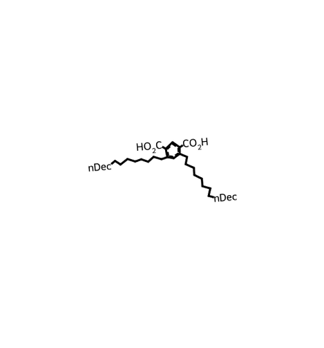 CCCCCCCCCCCCCCCCCCc1cc(CCCCCCCCCCCCCCCCCC)c(C(=O)O)cc1C(=O)O